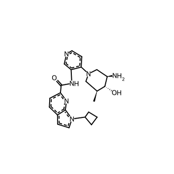 C[C@H]1CN(c2ccncc2NC(=O)c2ccc3ccn(C4CCC4)c3n2)C[C@@H](N)[C@@H]1O